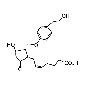 O=C(O)CCC/C=C\C[C@@H]1[C@@H](COc2ccc(CCO)cc2)[C@H](O)C[C@@H]1Cl